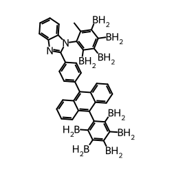 Bc1c(B)c(B)c(-c2c3ccccc3c(-c3ccc(-c4nc5ccccc5n4-c4c(B)c(B)c(B)c(B)c4C)cc3)c3ccccc23)c(B)c1B